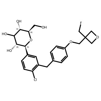 OC[C@H]1O[C@@H](c2ccc(Cl)c(Cc3ccc(OCC4(CF)COC4)cc3)c2)[C@H](O)C(O)[C@@H]1O